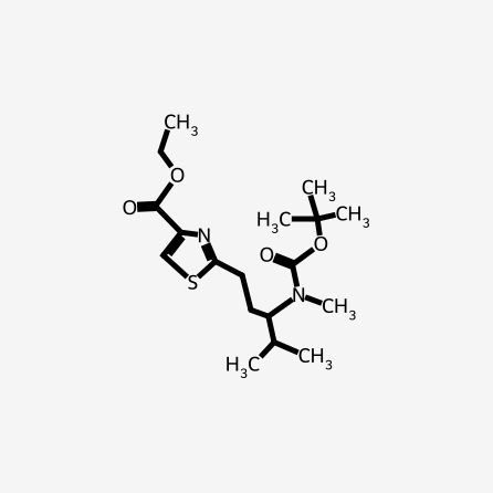 CCOC(=O)c1csc(CCC(C(C)C)N(C)C(=O)OC(C)(C)C)n1